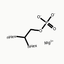 CCCCCCC(CCCCCC)COP(=O)([O-])[O-].[Mg+2]